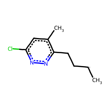 C[CH]CCc1nnc(Cl)cc1C